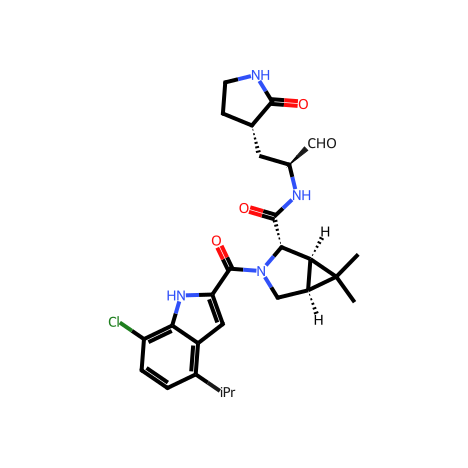 CC(C)c1ccc(Cl)c2[nH]c(C(=O)N3C[C@H]4[C@@H]([C@H]3C(=O)N[C@H](C=O)C[C@@H]3CCNC3=O)C4(C)C)cc12